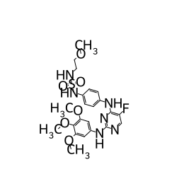 COCCNS(=O)(=O)Nc1ccc(Nc2nc(Nc3cc(OC)c(OC)c(OC)c3)ncc2F)cc1